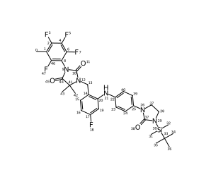 Cc1c(F)c(F)c(F)c(N2C(=O)N(Cc3ccc(F)cc3Nc3ccc(N4CCN([Si](C)(C)C(C)(C)C)C4=O)cc3)C(C)(C)C2=O)c1F